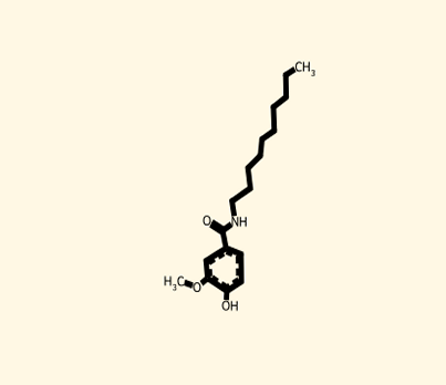 CCCCCCCCCCNC(=O)c1ccc(O)c(OC)c1